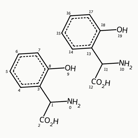 NC(C(=O)O)c1ccccc1O.NC(C(=O)O)c1ccccc1O